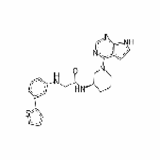 O=C(CNc1cccc(-c2cccs2)c1)N[C@@H]1CCCN(c2ncnc3[nH]ccc23)C1